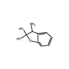 CCCC1(CCC)Oc2ccccc2C1N